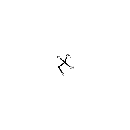 CC(O)(O)CCl